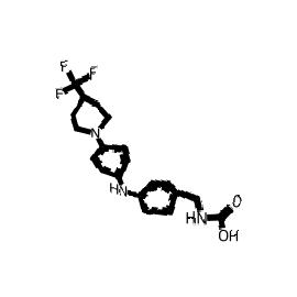 O=C(O)NCc1ccc(Nc2ccc(N3CCC(C(F)(F)F)CC3)cc2)cc1